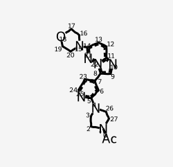 CC(=O)N1CCN(c2cc(-c3cnc4ccc(N5CCOCC5)nn34)ccn2)CC1